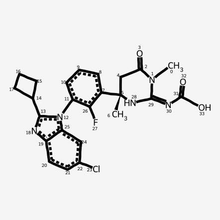 CN1C(=O)C[C@@](C)(c2cccc(-n3c(C4CCC4)nc4ccc(Cl)cc43)c2F)N/C1=N/C(=O)O